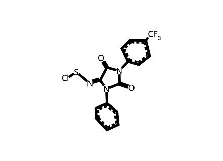 O=C1C(=NSCl)N(c2ccccc2)C(=O)N1c1ccc(C(F)(F)F)cc1